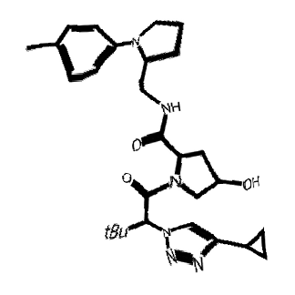 Cc1ccc(N2CCCC2CNC(=O)C2CC(O)CN2C(=O)C(n2cc(C3CC3)nn2)C(C)(C)C)cc1